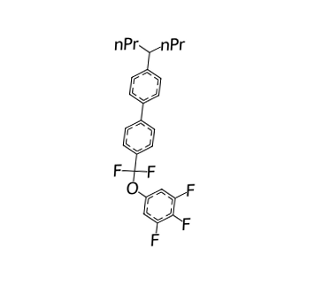 CCCC(CCC)c1ccc(-c2ccc(C(F)(F)Oc3cc(F)c(F)c(F)c3)cc2)cc1